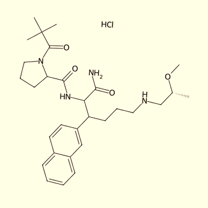 CO[C@H](C)CNCCCC(c1ccc2ccccc2c1)C(NC(=O)C1CCCN1C(=O)C(C)(C)C)C(N)=O.Cl